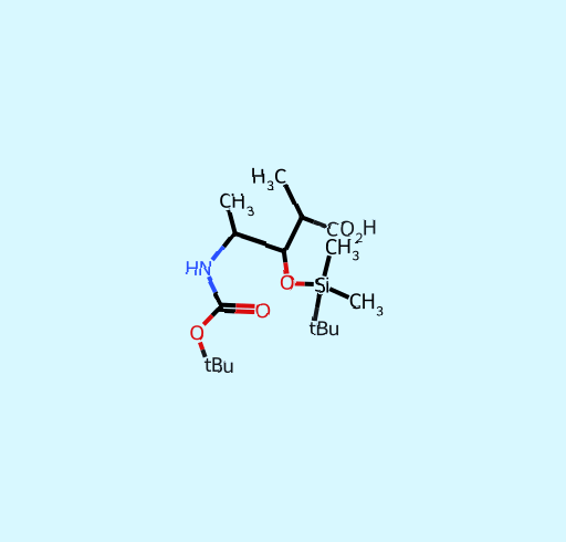 CC(NC(=O)OC(C)(C)C)C(O[Si](C)(C)C(C)(C)C)C(C)C(=O)O